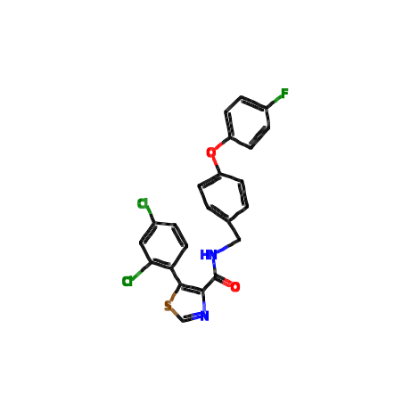 O=C(NCc1ccc(Oc2ccc(F)cc2)cc1)c1ncsc1-c1ccc(Cl)cc1Cl